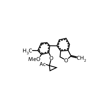 C=C1OCc2c1cccc2-c1ccc(C)c(OC)c1OC1(C(C)=O)CC1